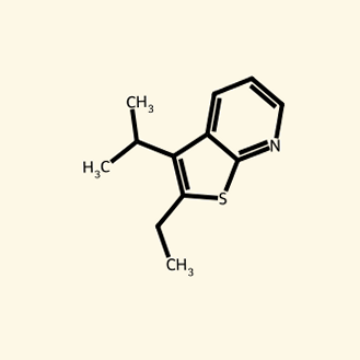 CCc1sc2ncccc2c1C(C)C